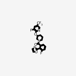 O=C(c1cccc(F)c1-c1ncco1)N1CCCC(Oc2ncc(C(F)(F)F)cc2F)C1